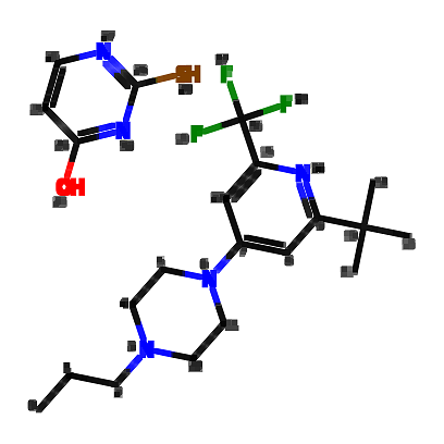 CCCN1CCN(c2cc(C(C)(C)C)nc(C(F)(F)F)c2)CC1.Oc1ccnc(S)n1